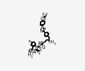 Cc1cs/c(=N\C(=O)NCCC(C)Cc2ccc(-c3ncn(-c4ccc(OC(F)(F)F)cc4)n3)cc2)n1-c1ccc(F)cc1C(C)C